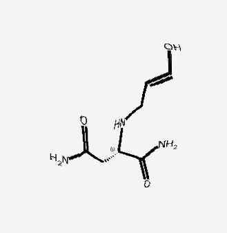 NC(=O)C[C@H](NCC=CO)C(N)=O